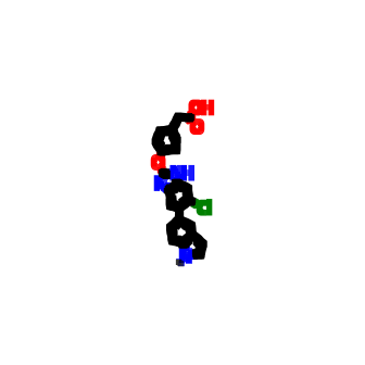 Cn1ccc2cc(-c3cc4nc(Oc5ccc(CC(=O)O)cc5)[nH]c4cc3Cl)ccc21